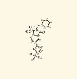 CC1(C)c2ccc(-c3noc(C(F)(F)F)n3)cc2C(=O)N1Cc1ccccc1